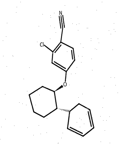 N#Cc1ccc(O[C@@H]2CCCC[C@H]2C2C=CC=CC2)cc1Cl